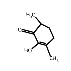 CC1=C(O)C(=O)C(C)CC1